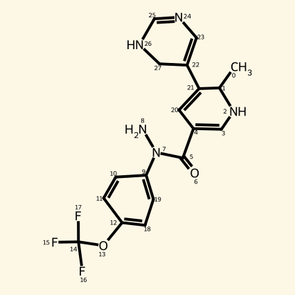 CC1NC=C(C(=O)N(N)c2ccc(OC(F)(F)F)cc2)C=C1C1=CN=CNC1